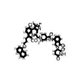 Cc1nn(C)c(C)c1-c1c(Cl)ccc2c(CCCOc3cccc4ccccc34)c(C(=O)O)n(CCN3CCC(C(=O)Nc4cccc5c4CN(C4CCC(=O)NC4=O)C5=O)CC3)c12